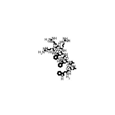 CC(C)C[C@H](NC(=O)[C@@H](N)Cc1c[nH]c2ccccc12)C(=O)N[C@H](C(=O)N[C@@H](Cc1c[nH]c2ccccc12)C(=O)N[C@@H](CO)C(=O)N[C@@H](Cc1c[nH]c2ccccc12)C(=O)N[C@@H](CCCNC(=N)N)C(=O)N[C@@H](CCCNC(=N)N)C(=O)N[C@@H](CCCNC(=N)N)C(=O)O)C(C)C